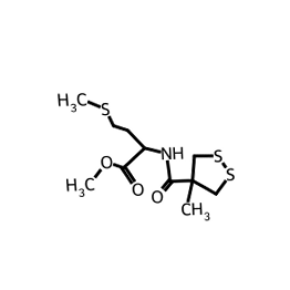 COC(=O)C(CCSC)NC(=O)C1(C)CSSC1